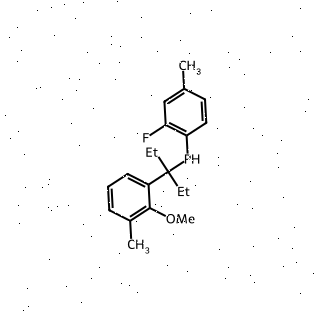 CCC(CC)(Pc1ccc(C)cc1F)c1cccc(C)c1OC